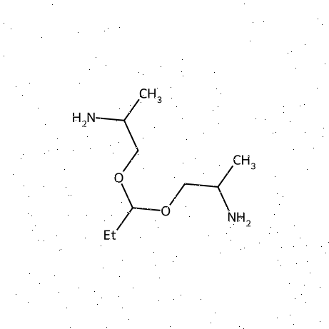 CCC(OCC(C)N)OCC(C)N